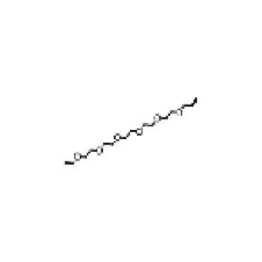 C=CCOCCOCCOCCOCCOCCOC=C